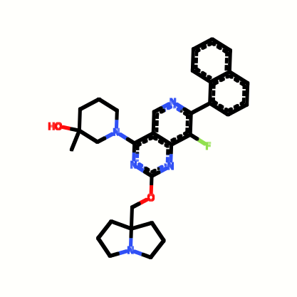 CC1(O)CCCN(c2nc(OCC34CCCN3CCC4)nc3c(F)c(-c4cccc5ccccc45)ncc23)C1